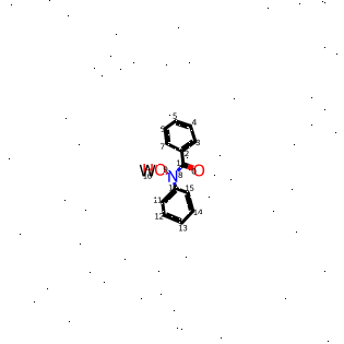 O=C(c1ccccc1)N(O)c1ccccc1.[W]